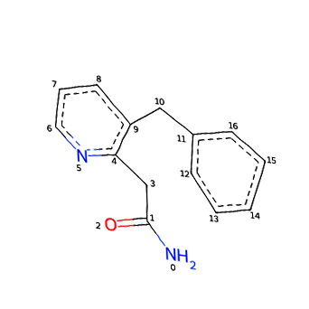 NC(=O)Cc1ncccc1Cc1ccccc1